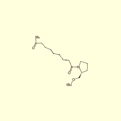 CC(C)(C)OC[C@@H]1CCCN1C(=O)CCCCCCCC(=O)C(C)(C)C